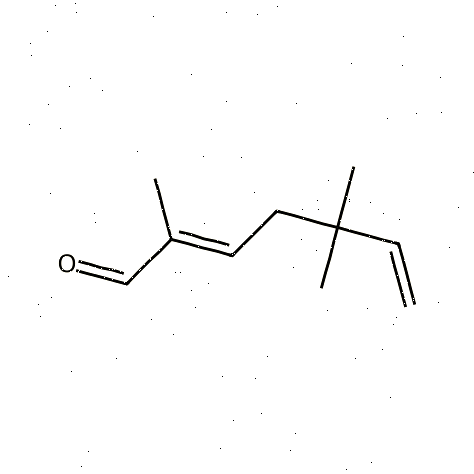 C=CC(C)(C)C/C=C(\C)C=O